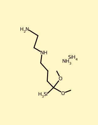 COC([SiH3])(CCCNCCN)OC.N.[SiH4]